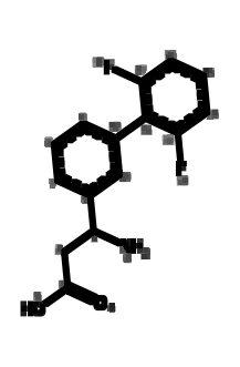 NC(CC(=O)O)c1cccc(-c2c(F)cccc2F)c1